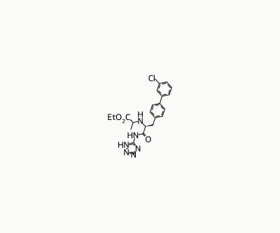 CCOC(=O)[C@H](C)N[C@@H](Cc1ccc(-c2cccc(Cl)c2)cc1)C(=O)Nc1nnn[nH]1